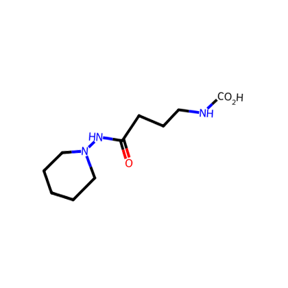 O=C(O)NCCCC(=O)NN1CCCCC1